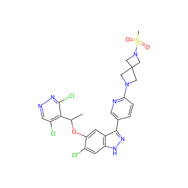 CC(Oc1cc2c(-c3ccc(N4CC5(C4)CN(S(C)(=O)=O)C5)nc3)n[nH]c2cc1Cl)c1c(Cl)cnnc1Cl